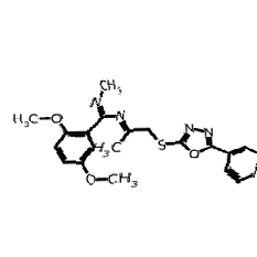 C/N=C(\N=C(/C)CSc1nnc(-c2ccncc2)o1)c1cc(OC)ccc1OC